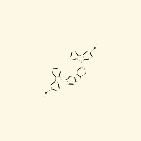 N#Cc1ccc2c(c1)c1ccccc1n2C1=Cc2c(sc3ccc(-n4c5ccccc5c5cc(C#N)ccc54)cc23)CC1